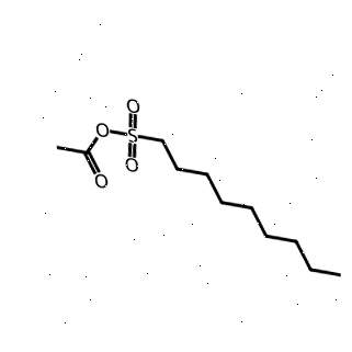 CCCCCCCCCS(=O)(=O)OC(C)=O